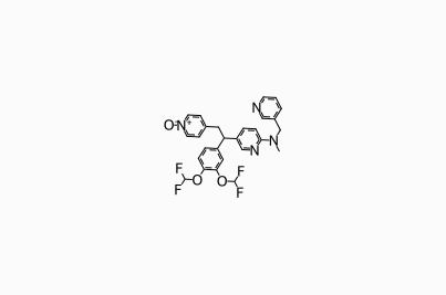 CN(Cc1cccnc1)c1ccc(C(Cc2cc[n+]([O-])cc2)c2ccc(OC(F)F)c(OC(F)F)c2)cn1